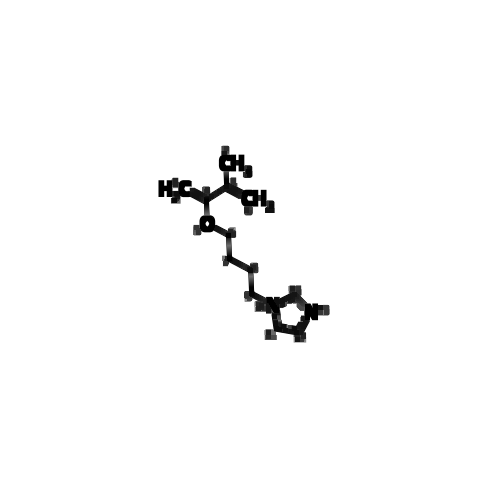 C=C(C)C(=C)OCCCCn1ccnc1